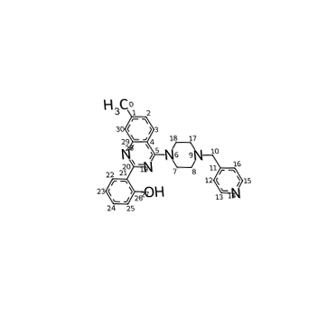 Cc1ccc2c(N3CCN(Cc4ccncc4)CC3)nc(-c3ccccc3O)nc2c1